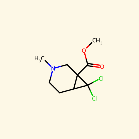 COC(=O)C12CN(C)CCC1C2(Cl)Cl